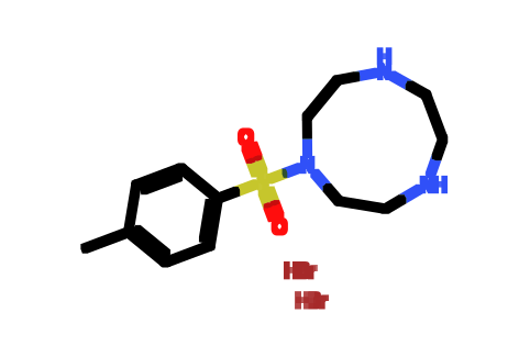 Br.Br.Cc1ccc(S(=O)(=O)N2CCNCCNCC2)cc1